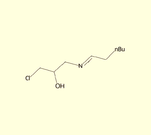 CCCCCC=NCC(O)CCl